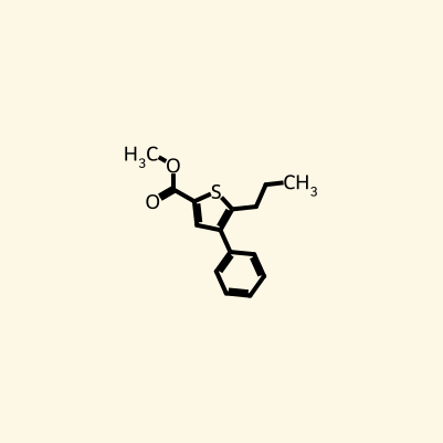 CCCc1sc(C(=O)OC)cc1-c1ccccc1